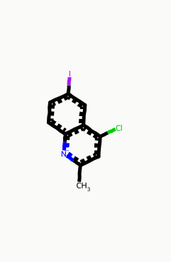 Cc1cc(Cl)c2cc(I)ccc2n1